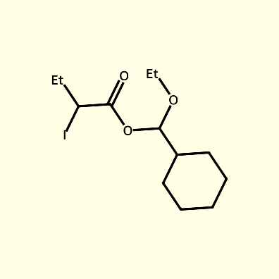 CCOC(OC(=O)C(I)CC)C1CCCCC1